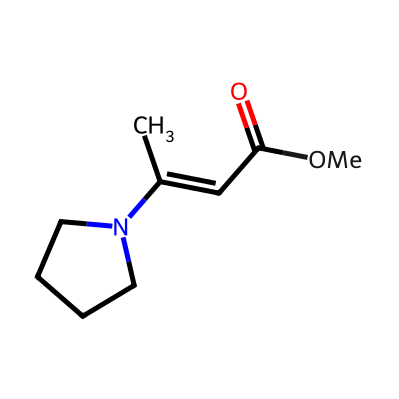 COC(=O)/C=C(\C)N1CCCC1